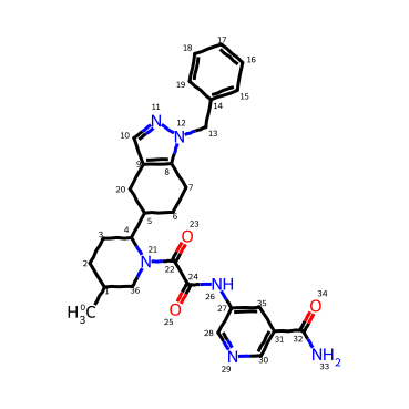 CC1CCC(C2CCc3c(cnn3Cc3ccccc3)C2)N(C(=O)C(=O)Nc2cncc(C(N)=O)c2)C1